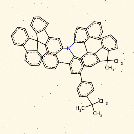 CC(C)(C)c1ccc(-c2ccc(N(c3ccc4c(c3)-c3ccccc3C43c4ccccc4-c4ccccc43)c3ccc4ccccc4c3-c3cccc4c3-c3ccccc3C4(C)C)c(-c3ccccc3)c2)cc1